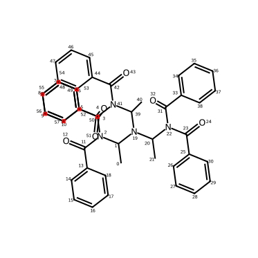 CC(N(C(=O)c1ccccc1)C(=O)c1ccccc1)N(C(C)N(C(=O)c1ccccc1)C(=O)c1ccccc1)C(C)N(C(=O)c1ccccc1)C(=O)c1ccccc1